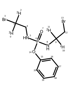 [2H]C([2H])(Br)CNP(=O)(NC([2H])([2H])CBr)Oc1ccccc1